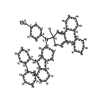 CC(C)(C)c1ccc(N(c2ccc3c4ccccc4n(-c4ccccc4-c4ccccc4)c3c2)C2(C)C=c3c(c4ccccc4c4ccccc34)=CC2)cc1